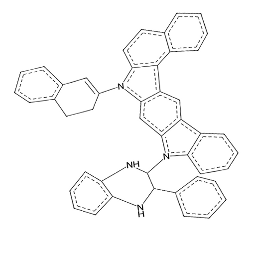 C1=C(n2c3cc4c(cc3c3c5ccccc5ccc32)c2ccccc2n4C2Nc3ccccc3NC2c2ccccc2)CCc2ccccc21